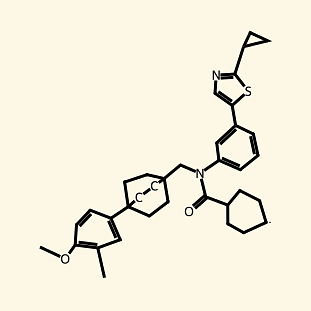 COc1ccc(C23CCC(CN(C(=O)C4CC[CH]CC4)c4cccc(-c5cnc(C6CC6)s5)c4)(CC2)CC3)cc1C